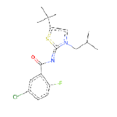 CC(C)Cn1cc(C(C)(C)C)sc1=NC(=O)c1cc(Cl)ccc1F